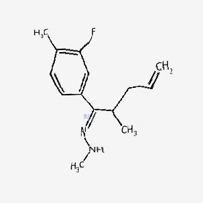 C=CCC(C)/C(=N\NC)c1ccc(C)c(F)c1